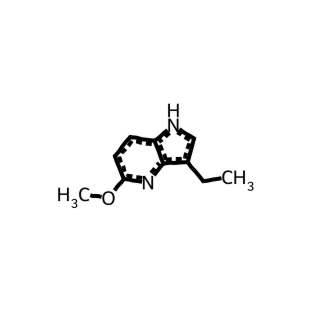 CCc1c[nH]c2ccc(OC)nc12